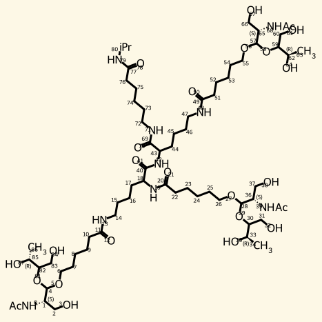 CC(=O)N[C@@H](CO)C(OCCCCCC(=O)NCCCCC(NC(=O)CCCCCOC(OC(CO)[C@@H](C)O)[C@H](CO)NC(C)=O)C(=O)NC(CCCCNC(=O)CCCCCOC(OC(CO)[C@@H](C)O)[C@H](CO)NC(C)=O)C(=O)NCCCCCC(=O)NC(C)C)OC(CO)[C@@H](C)O